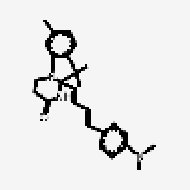 Cc1ccc2c(c1)N1CCC(=O)NC1(C=CC=Cc1ccc(N(C)C)cc1)C2(C)C